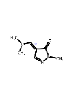 CN(C)/C=C1\C=NN(C)C1=O